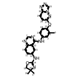 Cc1cc(Nc2ncnc3ccc(NC4=NC(C)(C)CO4)cc23)ccc1Oc1ccc2nncn2n1